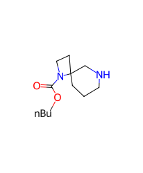 CCCCOC(=O)N1CCC12CCCNC2